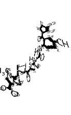 Cc1ccc(NC(=O)Nc2ncc(C(=O)Nc3nc(C(=O)O)cn3C)s2)c(C(=O)C2CCCC2)c1